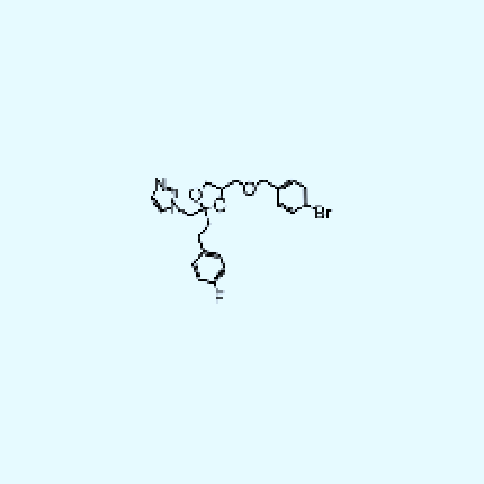 Fc1ccc(CCC2(Cn3ccnc3)OCC(COCc3ccc(Br)cc3)O2)cc1